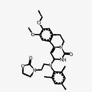 CCOc1cc2c(cc1OC)C1=CC(N(CCN3CCOC3=O)c3c(C)cc(C)cc3C)NC(=O)N1CC2